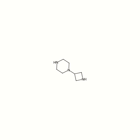 C1CN(C2CNC2)CCN1